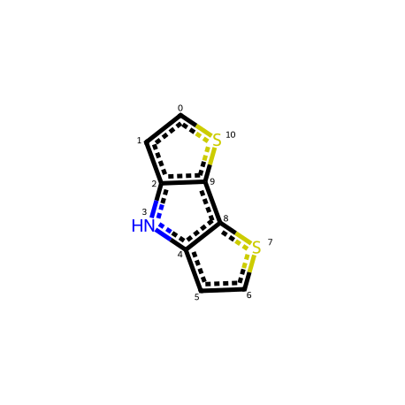 c1cc2[nH]c3ccsc3c2s1